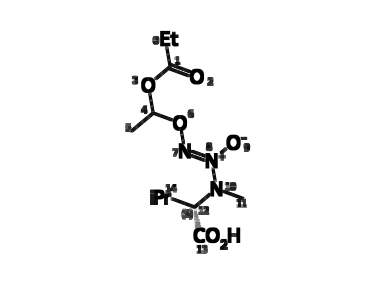 CCC(=O)OC(C)ON=[N+]([O-])N(C)[C@H](C(=O)O)C(C)C